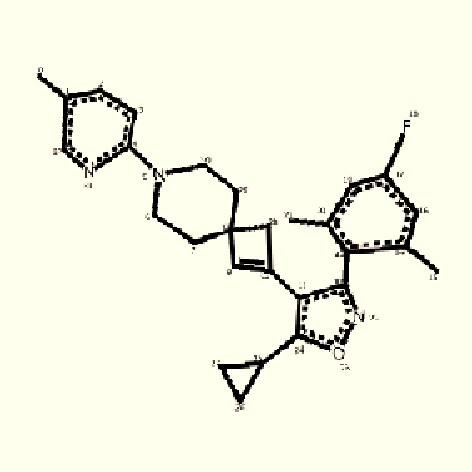 Cc1ccc(N2CCC3(C=C(c4c(-c5c(C)cc(F)cc5C)noc4C4CC4)C3)CC2)nc1